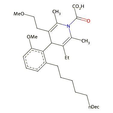 CCCCCCCCCCCCCCCc1cccc(OC)c1C1C(CC)=C(C)N(C(=O)C(=O)O)C(C)=C1CCOC